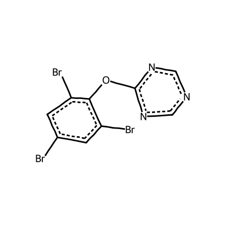 Brc1cc(Br)c(Oc2ncncn2)c(Br)c1